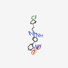 CS(=O)(=O)Nc1ccccc1-c1ccc2[nH]c(CCc3ccc(Cl)cc3)nc2c1